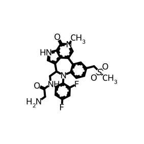 Cn1cc2c3c(c[nH]c3c1=O)C(CNC(=O)CN)N(c1ccc(F)cc1F)c1ccc(CS(C)(=O)=O)cc1-2